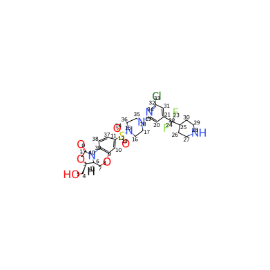 O=C1O[C@H](CO)[C@@H]2COc3cc(S(=O)(=O)N4CCN(c5cc(C(F)(F)C6CCNCC6)cc(Cl)n5)CC4)ccc3N12